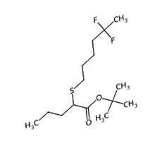 CCCC(SCCCCC(C)(F)F)C(=O)OC(C)(C)C